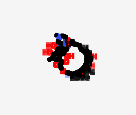 CO[C@H]1/C=C/OC2(C)Oc3c(C)c(O)c4c(O)c(c(C=NN5CCN(C)CC5)c(O)c4c3C2=O)NC(=O)/C(C)=C\C=C\[C@H](C)[C@H](O)[C@@H](C)[C@@H](O)[C@@H](C)[C@H](OC(C)=O)[C@@H]1C